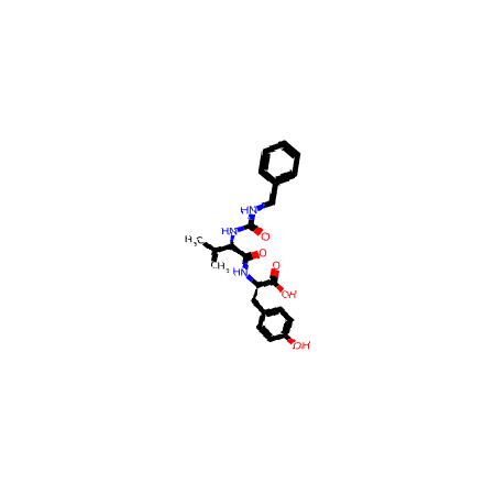 CC(C)[C@@H](NC(=O)NCc1ccccc1)C(=O)N[C@H](Cc1ccc(O)cc1)C(=O)O